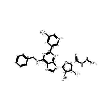 CNNC(=O)[C@H]1O[C@@H](n2cnc3c(NCc4ccccc4)nc(-c4cncc(C)c4)nc32)[C@H](O)[C@@H]1O